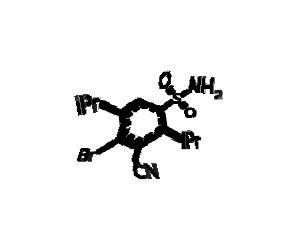 CC(C)c1cc(S(N)(=O)=O)c(C(C)C)c(C#N)c1Br